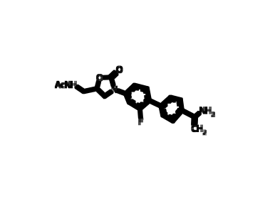 C=C(N)c1ccc(-c2ccc(N3CC(CNC(C)=O)OC3=O)cc2F)cc1